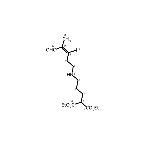 CCOC(=O)C(CCCNCC/C(I)=C(/C)C=O)C(=O)OCC